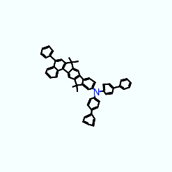 CC1(C)c2cc(N(c3ccc(-c4ccccc4)cc3)c3ccc(-c4ccccc4)cc3)ccc2-c2cc3c(cc21)-c1c(cc(-c2ccccc2)c2ccccc12)C3(C)C